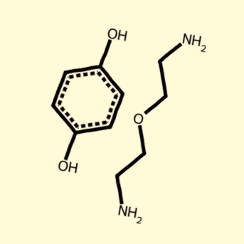 NCCOCCN.Oc1ccc(O)cc1